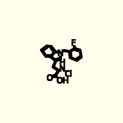 O=C(O)C(Cc1cn(Cc2ccccc2F)c2ccccc12)NCl